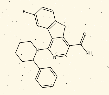 NC(=O)c1cnc(N2CCCCC2c2ccccc2)c2c1[nH]c1ccc(F)cc12